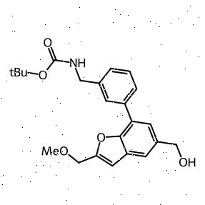 COCc1cc2cc(CO)cc(-c3cccc(CNC(=O)OC(C)(C)C)c3)c2o1